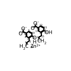 C=CCc1cc(C(=O)[O-])ccc1O.C=CCc1cc(C(=O)[O-])ccc1O.[Zn+2]